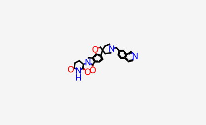 O=C1CCC(N2Cc3c(ccc4c3OCC43CCN(Cc4ccc5ccncc5c4)CC3)C2=O)C(=O)N1